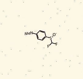 CNc1ccc([S+]([O-])C(F)F)cc1